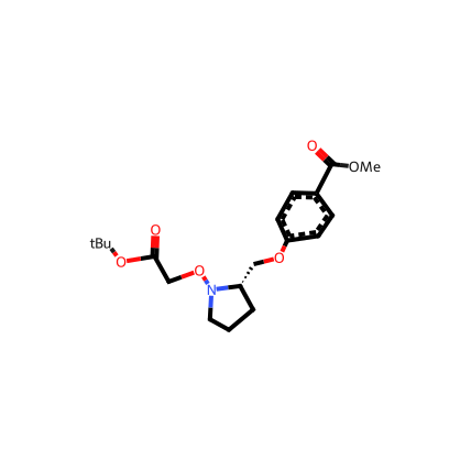 COC(=O)c1ccc(OC[C@@H]2CCCN2OCC(=O)OC(C)(C)C)cc1